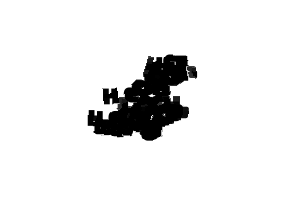 Cc1ccc(NC(=O)c2ccnc(C(F)(F)F)c2F)cc1-c1cnc2c(c1)[C@@]1(C)CCOCC[C@@H]1C(=O)N2CCO[Si](C)(C)C(C)(C)C